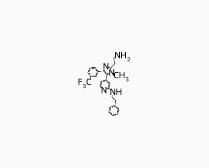 Cn1c(CCN)nc(-c2cccc(C(F)(F)F)c2)c1-c1ccnc(NCCc2ccccc2)c1